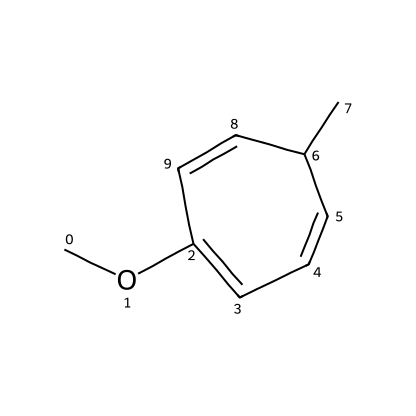 COC1=CC=CC(C)C=C1